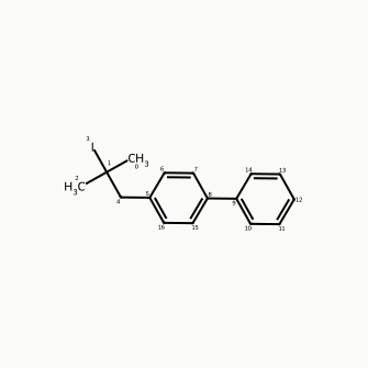 CC(C)(I)Cc1ccc(-c2ccccc2)cc1